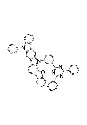 c1ccc(-c2nc(-c3ccccc3)nc(-c3cccc(-n4c5cc6c7ccccc7n(-c7ccccc7)c6cc5c5ccc6c7ccccc7oc6c54)c3)n2)cc1